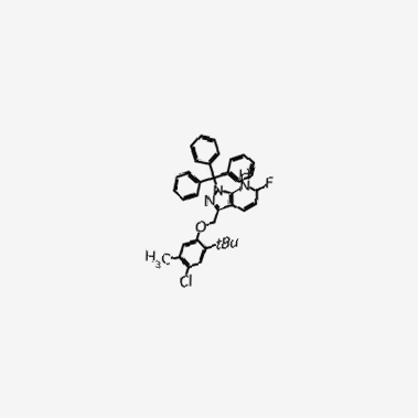 Cc1cc(OCc2nn(C(c3ccccc3)(c3ccccc3)c3ccccc3)c3c2C=CC(F)N3)c(C(C)(C)C)cc1Cl